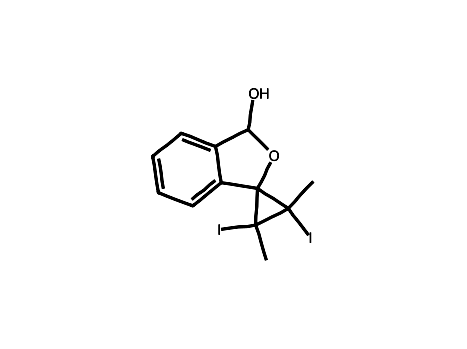 CC1(I)C(C)(I)C12OC(O)c1ccccc12